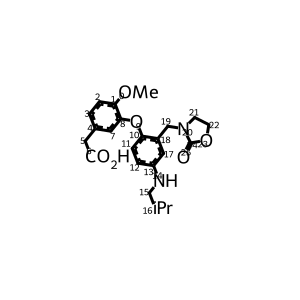 COc1ccc(CC(=O)O)cc1Oc1ccc(NCC(C)C)cc1CN1CCOC1=O